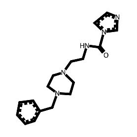 O=C(NCCN1CCN(Cc2ccccc2)CC1)n1ccnc1